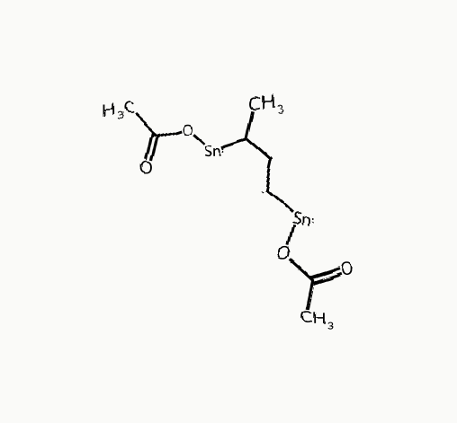 CC(=O)[O][Sn][CH]C[CH](C)[Sn][O]C(C)=O